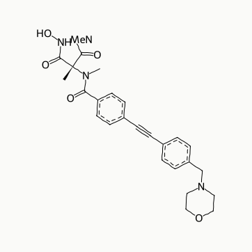 CNC(=O)[C@@](C)(C(=O)NO)N(C)C(=O)c1ccc(C#Cc2ccc(CN3CCOCC3)cc2)cc1